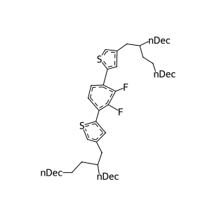 CCCCCCCCCCCCC(CCCCCCCCCC)Cc1csc(-c2ccc(-c3cc(CC(CCCCCCCCCC)CCCCCCCCCCCC)cs3)c(F)c2F)c1